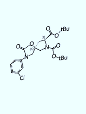 CC(C)(C)OC(=O)[C@@H]1C[C@@]2(CN(c3cccc(Cl)c3)C(=O)O2)CN1C(=O)OC(C)(C)C